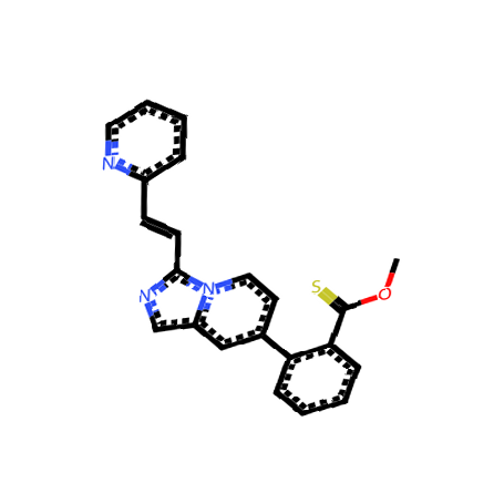 COC(=S)c1ccccc1-c1ccn2c(/C=C/c3ccccn3)ncc2c1